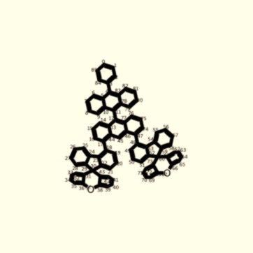 c1ccc(-c2c3ccccc3c(-c3c4cccc(-c5cccc6c5-c5ccccc5C65c6ccccc6Oc6ccccc65)c4cc4c(-c5cccc6c5-c5ccccc5C65c6ccccc6Oc6ccccc65)cccc34)c3ccccc23)cc1